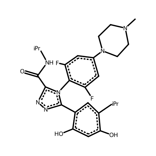 CC(C)NC(=O)c1nnc(-c2cc(C(C)C)c(O)cc2O)n1-c1c(F)cc(N2CCN(C)CC2)cc1F